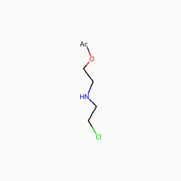 CC(=O)OCCNCCCl